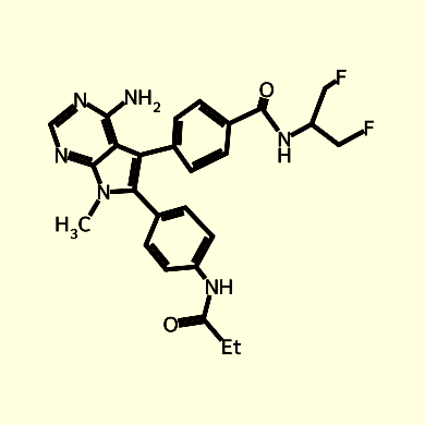 CCC(=O)Nc1ccc(-c2c(-c3ccc(C(=O)NC(CF)CF)cc3)c3c(N)ncnc3n2C)cc1